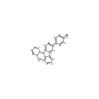 CC1C=CC=CC1n1c2ccccc2c2cc(-c3ccc(Br)cc3)ccc21